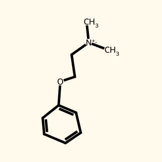 C[N+](C)CCOc1ccccc1